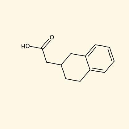 O=C(O)CC1CCc2ccccc2C1